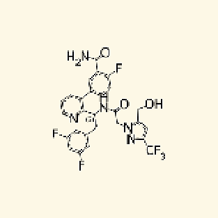 NC(=O)c1cc(-c2cccnc2[C@H](Cc2cc(F)cc(F)c2)NC(=O)Cn2nc(C(F)(F)F)cc2CO)ccc1F